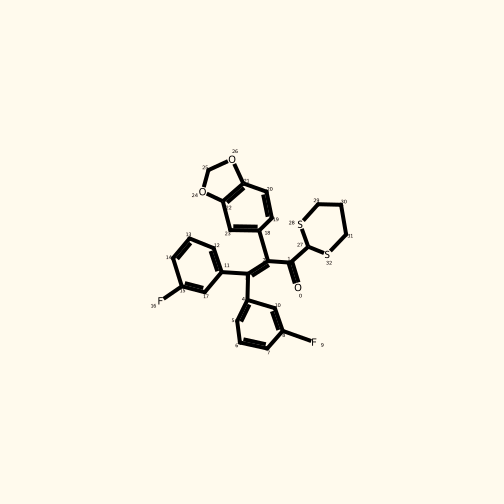 O=C(C(=C(c1cccc(F)c1)c1cccc(F)c1)c1ccc2c(c1)OCO2)C1SCCCS1